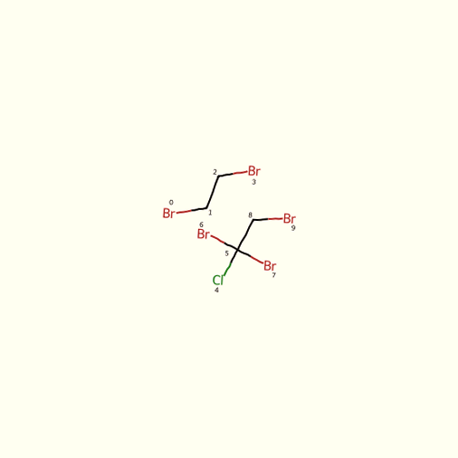 BrCCBr.ClC(Br)(Br)CBr